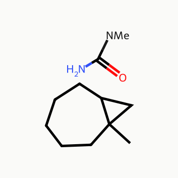 CC12CCCCCC1C2.CNC(N)=O